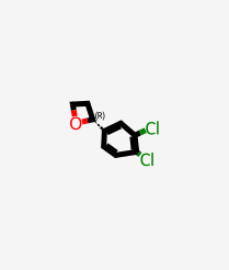 Clc1ccc([C@H]2CCO2)cc1Cl